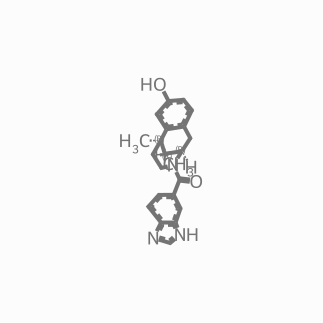 C[C@H]1[C@H]2Cc3ccc(O)cc3[C@]1(C)CCN2C(=O)c1ccc2nc[nH]c2c1